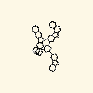 c1ccc(-c2nc(-c3ccc4oc5ccccc5c4c3)nc(-c3cc4oc5ccc6ccccc6c5c4cc3-n3c4cc5ccccc5cc4c4cc5ccccc5cc43)n2)cc1